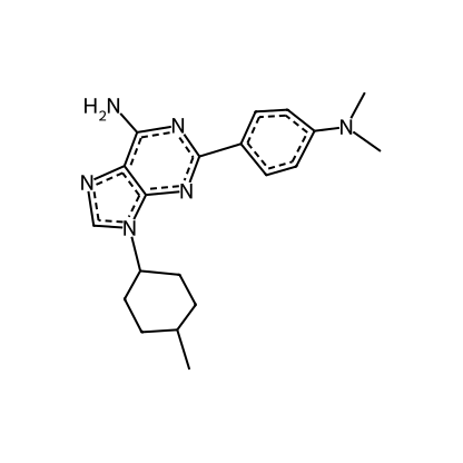 CC1CCC(n2cnc3c(N)nc(-c4ccc(N(C)C)cc4)nc32)CC1